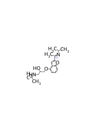 C/C(=N\C(C)C)c1cc2c(OCC(O)CNC(C)C)cccc2o1